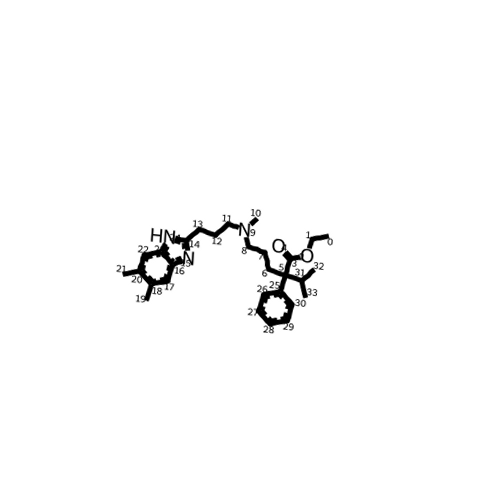 CCOC(=O)C(CCCN(C)CCCc1nc2cc(C)c(C)cc2[nH]1)(c1ccccc1)C(C)C